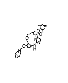 C#C/C=C(/C)C(OC(=O)N1CCCCOCc2cc(ccc2OCCN2CCOCC2)Nc2nccc1n2)=C(C)C